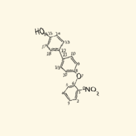 O=[N+]([O-])c1ccccc1Oc1ccc(-c2ccc(O)cc2)cc1